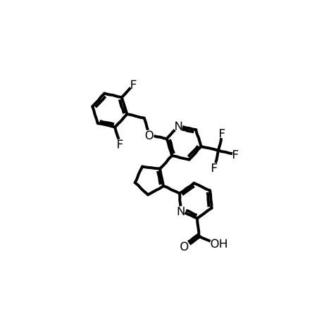 O=C(O)c1cccc(C2=C(c3cc(C(F)(F)F)cnc3OCc3c(F)cccc3F)CCC2)n1